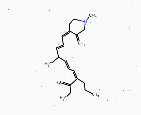 C=C(CC)/C(=C\C=C\C(C)/C=C/C=C1/CCN(C)CC1=C)CCC